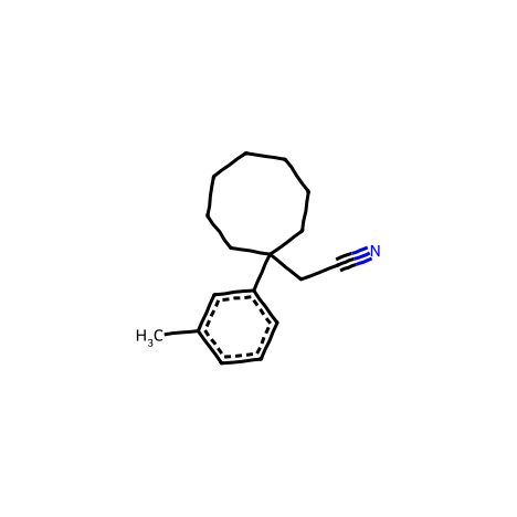 Cc1cccc(C2(CC#N)CCCCCCC2)c1